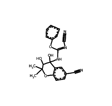 CC1(C)Oc2ccc(C#N)cc2C(O)(NC(=NC#N)Oc2ccccc2)C1O